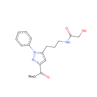 COC(=O)c1cc(CCCNC(=O)CO)n(-c2ccccc2)n1